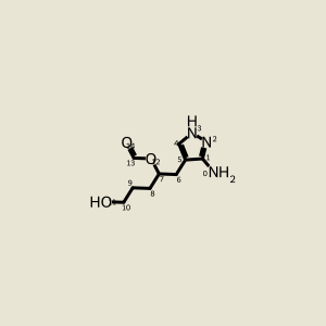 Nc1n[nH]cc1CC(CCCO)OC=O